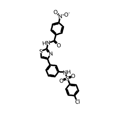 O=C(Nc1nc(-c2cccc(NS(=O)(=O)c3ccc(Cl)cc3)c2)cs1)c1ccc([N+](=O)[O-])cc1